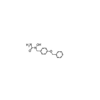 NC(=O)N(O)Cc1ccc(OCc2ccccc2)cc1